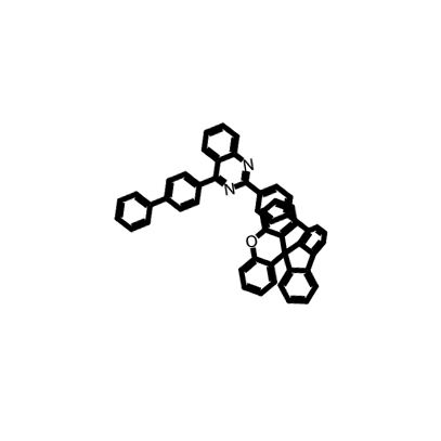 c1ccc(-c2ccc(-c3nc(-c4ccc(-c5cccc6c5C5(c7ccccc7Oc7ccccc75)c5ccccc5-6)cc4)nc4ccccc34)cc2)cc1